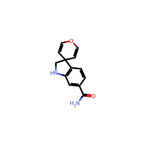 NC(=O)c1ccc2c(c1)NCC21C=COC=C1